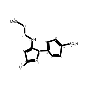 CSOONc1cc(C)nn1-c1ccc(S(=O)(=O)O)cc1